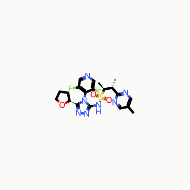 Cc1cnc([C@@H](C)[C@H](C)S(=O)(=O)Nc2nnc([C@H]3CCCO3)n2-c2c(F)cncc2F)nc1